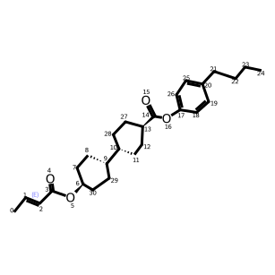 C/C=C/C(=O)O[C@H]1CC[C@H]([C@H]2CC[C@H](C(=O)Oc3ccc(CCCC)cc3)CC2)CC1